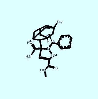 CNC(=O)C1=CC(C(N)=O)(C2[C@H]3CC4C[C@H]2CC(O)(C4)C3)N([C@@H](C)c2ccccc2)N1